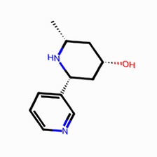 C[C@@H]1C[C@H](O)C[C@H](c2cccnc2)N1